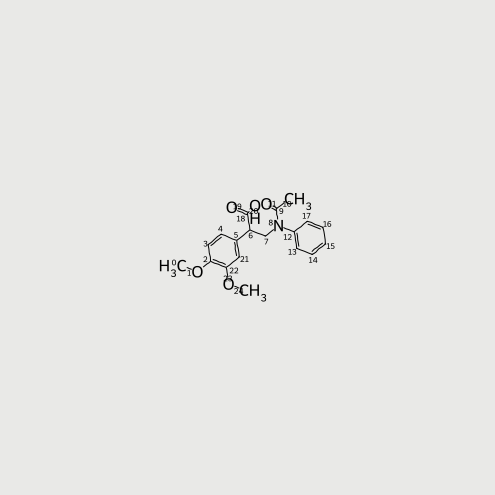 COc1ccc(C(CN(C(C)=O)c2ccccc2)C(=O)O)cc1OC